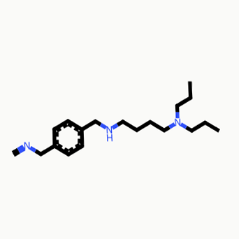 C=NCc1ccc(CNCCCCN(CCC)CCC)cc1